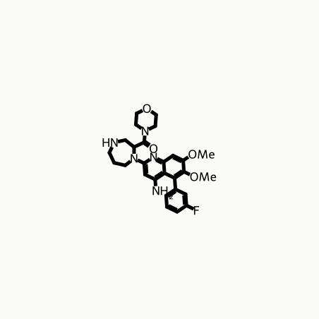 COc1cc2nc(N3CCCNCC3C(=O)N3CCOCC3)cc(N)c2c(-c2cccc(F)c2)c1OC